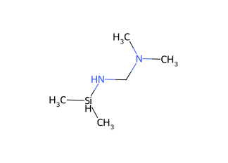 CN(C)CN[SiH](C)C